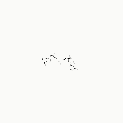 Nc1ncnc2c1ncn2CC1(/C=C/O[PH](=O)O/C=C/C2(Cn3cnc4c(N)ncnc43)CC2)CC1